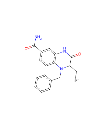 CC(C)CC1C(=O)Nc2cc(C(N)=O)ccc2N1Cc1ccccc1